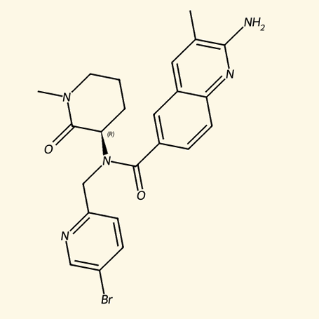 Cc1cc2cc(C(=O)N(Cc3ccc(Br)cn3)[C@@H]3CCCN(C)C3=O)ccc2nc1N